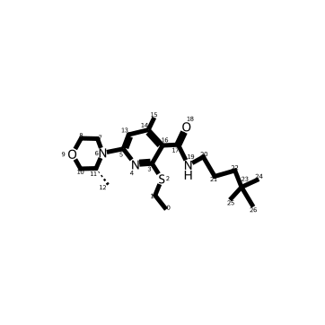 CCSc1nc(N2CCOC[C@H]2C)cc(C)c1C(=O)NCCCC(C)(C)C